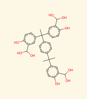 CC(C)(c1ccc(C(C)(c2ccc(O)c(C(O)O)c2)c2ccc(O)c(C(O)O)c2)cc1)c1ccc(O)c(C(O)O)c1